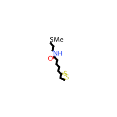 CSCCCNC(=O)CCCCC1CCSS1